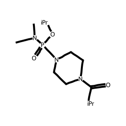 CC(C)OP(=O)(N(C)C)N1CCN(C(=O)C(C)C)CC1